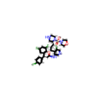 O=C(C[C@@H](c1ccc(F)cc1)c1cc(F)cc(F)c1)Nc1cncc(F)c1CCC[C@H]1CNCCN1S(=O)(=O)N1CCOCC1